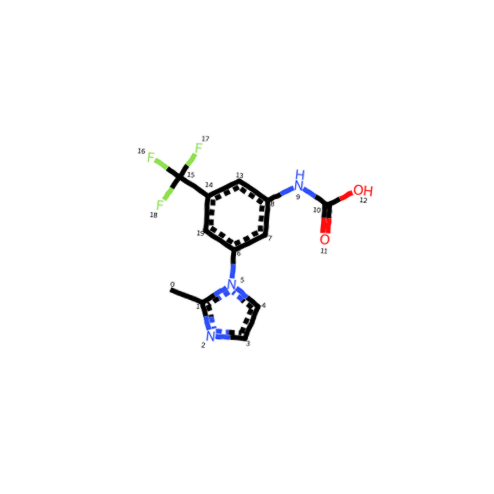 Cc1nccn1-c1cc(NC(=O)O)cc(C(F)(F)F)c1